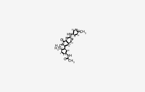 CC(=O)Nc1ccc(C)c(-c2cc3cnc(Nc4ccc(C)nc4)nc3c(=O)n2C)c1